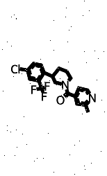 Cc1cc(C(=O)N2CCCC(c3ccc(Cl)cc3C(F)(F)F)C2)ccn1